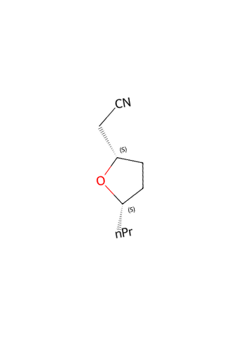 CCC[C@H]1CC[C@@H](CC#N)O1